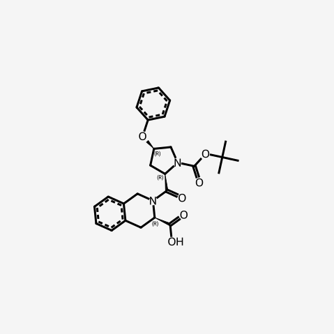 CC(C)(C)OC(=O)N1C[C@H](Oc2ccccc2)C[C@@H]1C(=O)N1Cc2ccccc2C[C@@H]1C(=O)O